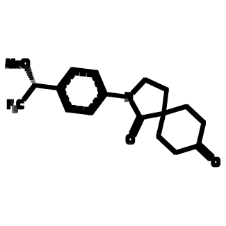 CO[C@H](c1ccc(N2CCC3(CCC(=O)CC3)C2=O)cc1)C(F)(F)F